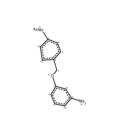 CC(=O)Nc1ccc(COc2cccc(N)c2)cc1